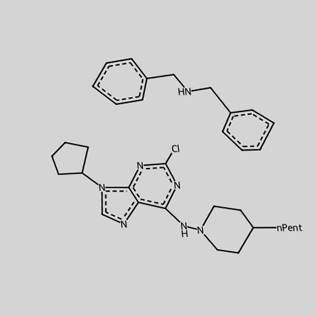 CCCCCC1CCN(Nc2nc(Cl)nc3c2ncn3C2CCCC2)CC1.c1ccc(CNCc2ccccc2)cc1